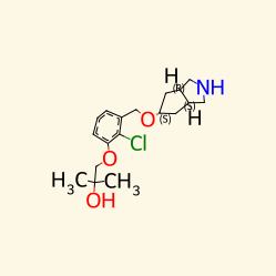 CC(C)(O)COc1cccc(CO[C@@H]2C[C@H]3CNC[C@H]3C2)c1Cl